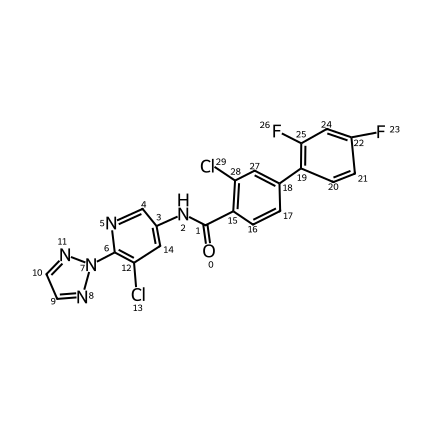 O=C(Nc1cnc(-n2nccn2)c(Cl)c1)c1ccc(-c2ccc(F)cc2F)cc1Cl